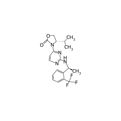 CC(C)[C@H]1COC(=O)N1c1ccnc(N[C@@H](C)c2ccccc2C(F)(F)F)n1